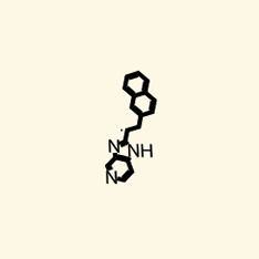 [CH](Cc1ccc2ccccc2c1)c1nc2cnccc2[nH]1